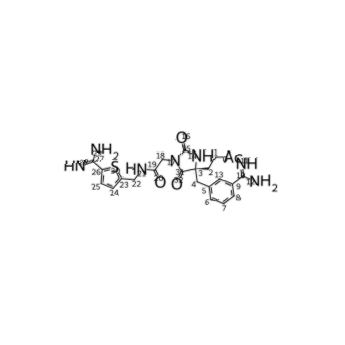 CC(=O)CC[C@]1(Cc2cccc(C(=N)N)c2)NC(=O)N(CC(=O)NCc2ccc(C(=N)N)s2)C1=O